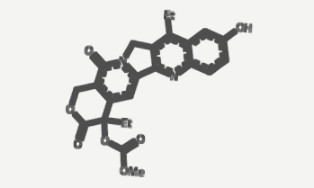 CCc1c2c(nc3ccc(O)cc13)-c1cc3c(c(=O)n1C2)COC(=O)C3(CC)OC(=O)OC